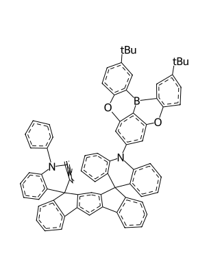 CC(C)(C)c1ccc2c(c1)B1c3cc(C(C)(C)C)ccc3Oc3cc(N4c5ccccc5C5(c6ccccc6-c6cc7c(cc65)C5(c6ccccc6-7)c6ccccc6N(c6ccccc6)c6ccccc65)c5ccccc54)cc(c31)O2